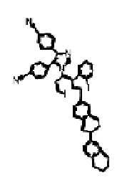 N#Cc1ccc(-c2ncn(C(/C=C\I)=C(/C=C/c3ccc4c(c3)=CCC(c3ccc5c(c3)=CCCC=5)C=4)c3ccccc3I)c2-c2ccc(C#N)cc2)cc1